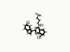 CN(C)CCCNc1nc(-c2csc3ccc(Cl)cc23)nc2c(Cl)cccc12